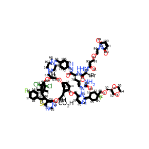 Cc1c(Cl)c2c(Cl)c(C)c1-c1c(-c3ccc(F)cc3)sc3ncnc(c13)O[C@@H](C(=O)O)Cc1cc(ccc1OCc1ccnc(C3CCC(F)(COC[C@@H]4COCCO4)CC3)n1)OC[C@@H](CN1CC[N+](C)(Cc3ccc(NC(=O)[C@H](CCCNC(N)=O)NC(=O)[C@@H](NC(=O)CCOCCN4C(=O)C=CC4=O)C(C)C)cc3)CC1)O2